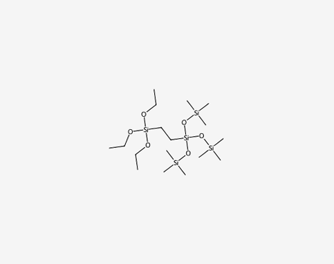 CCO[Si](CC[Si](O[Si](C)(C)C)(O[Si](C)(C)C)O[Si](C)(C)C)(OCC)OCC